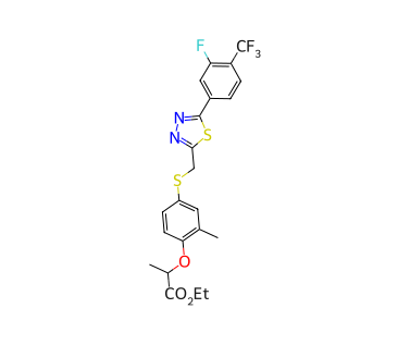 CCOC(=O)C(C)Oc1ccc(SCc2nnc(-c3ccc(C(F)(F)F)c(F)c3)s2)cc1C